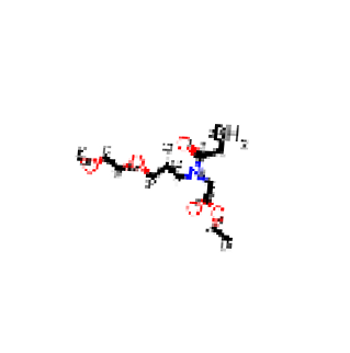 BCC(=O)N(CC(=O)OCC)C[C@@H](C)COCCOC